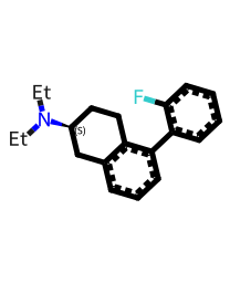 CCN(CC)[C@H]1CCc2c(cccc2-c2ccccc2F)C1